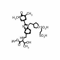 Cc1cc(-c2nc3cc(CNC(C(=O)OC(C)C)C(C)O)ccc3n2CC2CCOCC2)cn(C)c1=O.O=S(=O)(O)CCS(=O)(=O)O